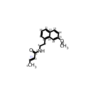 C/C=C/C(=O)NCCc1cccc2ccc(OC)cc12